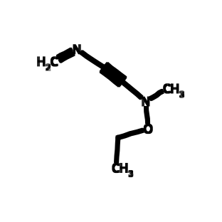 C=NC#CN(C)OCC